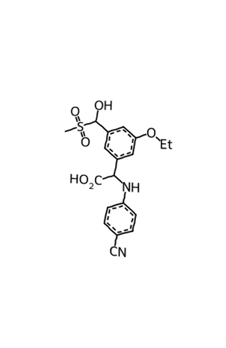 CCOc1cc(C(Nc2ccc(C#N)cc2)C(=O)O)cc(C(O)S(C)(=O)=O)c1